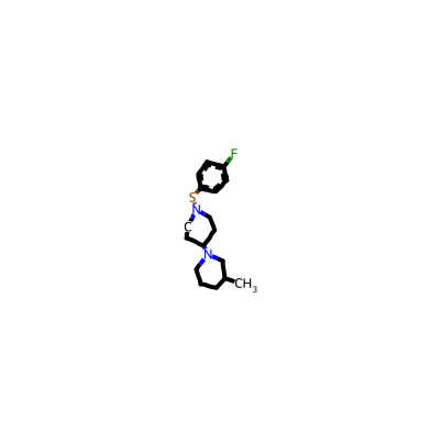 CC1CCCN(C2CCN(Sc3ccc(F)cc3)CC2)C1